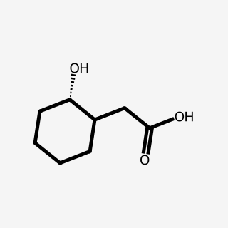 O=C(O)CC1CCCC[C@@H]1O